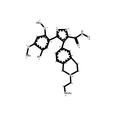 CCCCOc1cc(OCCCC)c(C(C)C)cc1-c1onc(C(=O)NCC)c1-c1ccc2c(c1)CCN(CCNC(C)=O)C2